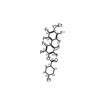 CCOc1c(F)c(F)c(-c2c(F)c(F)c(OC(=O)C3CCC(CC)CC3)c(F)c2F)c(F)c1F